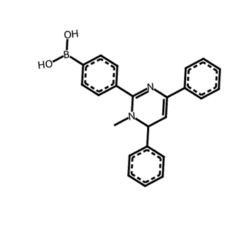 CN1C(c2ccc(B(O)O)cc2)=NC(c2ccccc2)=CC1c1ccccc1